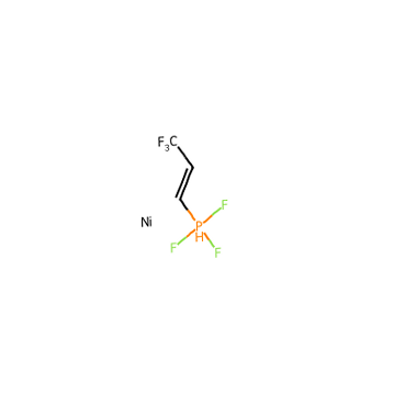 FC(F)(F)C=C[PH](F)(F)F.[Ni]